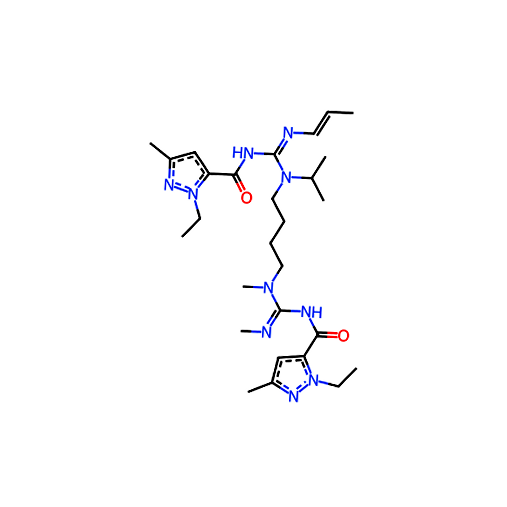 C/C=C/N=C(/NC(=O)c1cc(C)nn1CC)N(CCCCN(C)/C(=N\C)NC(=O)c1cc(C)nn1CC)C(C)C